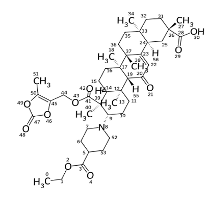 CCOC(=O)C1CCN([C@H]2CC[C@@]3(C)[C@@H](CC[C@]4(C)[C@@H]3C(=O)C=C3[C@@H]5C[C@@](C)(C(=O)O)CC[C@]5(C)CC[C@]34C)[C@]2(C)C(=O)OCc2oc(=O)oc2C)CC1